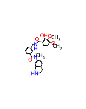 COc1ccc(C(=O)NCc2cccc(C(=O)N(C)c3ccc4c(c3)CNCC4)c2)c(O)c1OC